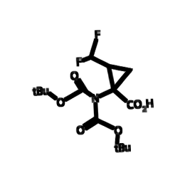 CC(C)(C)OC(=O)N(C(=O)OC(C)(C)C)C1(C(=O)O)CC1C(F)F